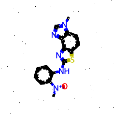 Cn1cnc2c3nc(Nc4ccccc4[N+](C)=O)sc3ccc21